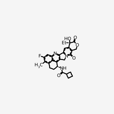 CC[C@@]1(O)C(=O)OCc2c1cc1n(c2=O)Cc2c-1nc1cc(F)c(C)c3c1c2[C@@H](NC(=O)C1CCC1)CC3